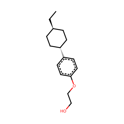 CC[C@H]1CC[C@H](c2ccc(OCCO)cc2)CC1